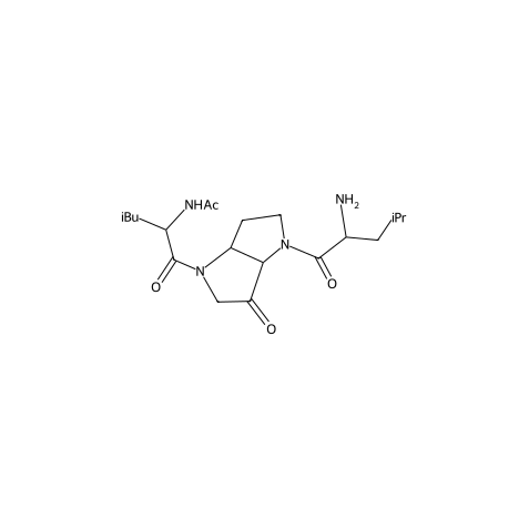 CCC(C)C(NC(C)=O)C(=O)N1CC(=O)C2C1CCN2C(=O)C(N)CC(C)C